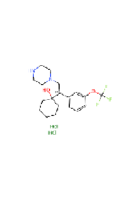 Cl.Cl.OC1([C@@H](CN2CCNCC2)c2cccc(OC(F)(F)F)c2)CCCCC1